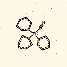 N#C[PH](c1ccccc1)(c1ccccc1)c1ccccc1